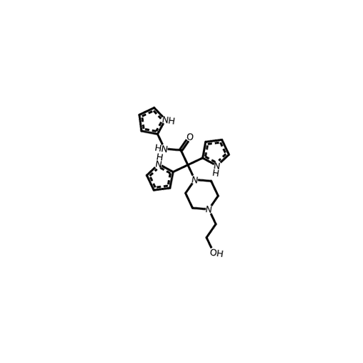 O=C(Nc1ccc[nH]1)C(c1ccc[nH]1)(c1ccc[nH]1)N1CCN(CCO)CC1